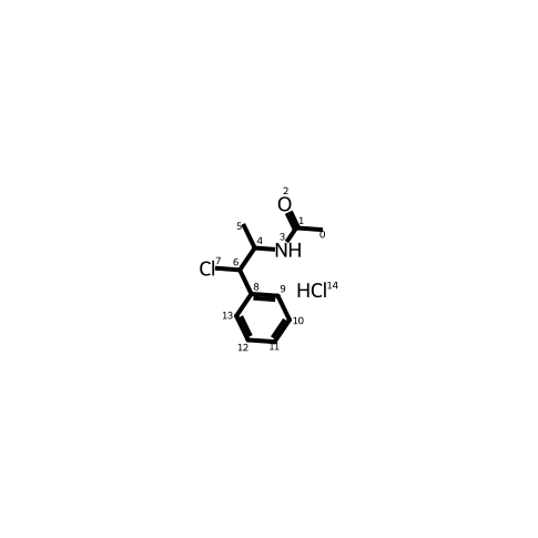 CC(=O)NC(C)C(Cl)c1ccccc1.Cl